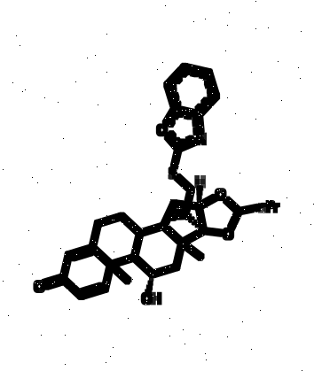 CCCC1O[C@@H]2CC3C4CCC5=CC(=O)C=CC5(C)C4[C@@H](O)CC3(C)[C@]2(C(=O)CSc2nc3ccccc3o2)O1